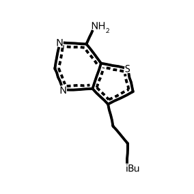 CCC(C)CCc1csc2c(N)ncnc12